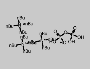 CCCC[N+](CCCC)(CCCC)CCCC.CCCC[N+](CCCC)(CCCC)CCCC.CCCC[N+](CCCC)(CCCC)CCCC.O=P(O)(O)OP(=O)(O)O